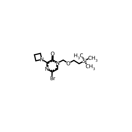 C[Si](C)(C)CCOCn1cc(Br)nc(N2CCC2)c1=O